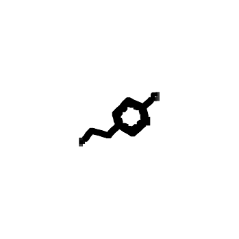 FCCc1ccc(Cl)nc1